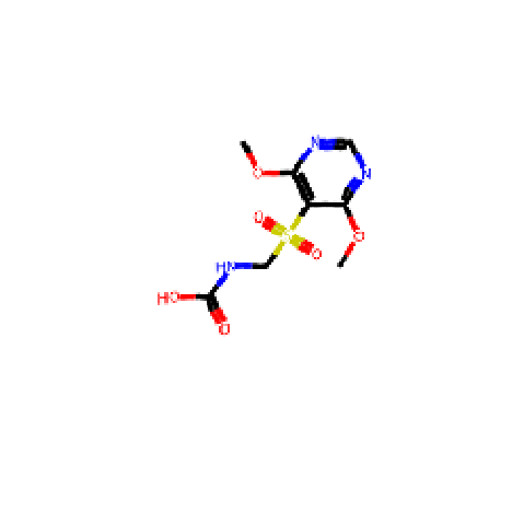 COc1ncnc(OC)c1S(=O)(=O)CNC(=O)O